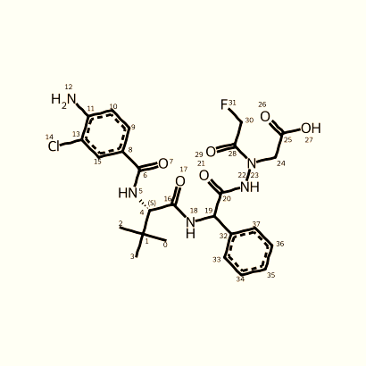 CC(C)(C)[C@H](NC(=O)c1ccc(N)c(Cl)c1)C(=O)NC(C(=O)NN(CC(=O)O)C(=O)CF)c1ccccc1